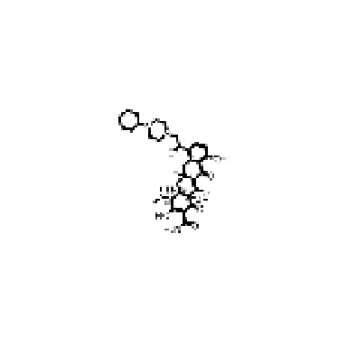 CN(C)[C@@H]1C(O)=C(C(N)=O)C(=O)[C@@]2(O)C(O)=C3C(=O)c4c(O)ccc(C(=O)CN5CCN(C6CCCCC6)CC5)c4C[C@H]3C[C@@H]12